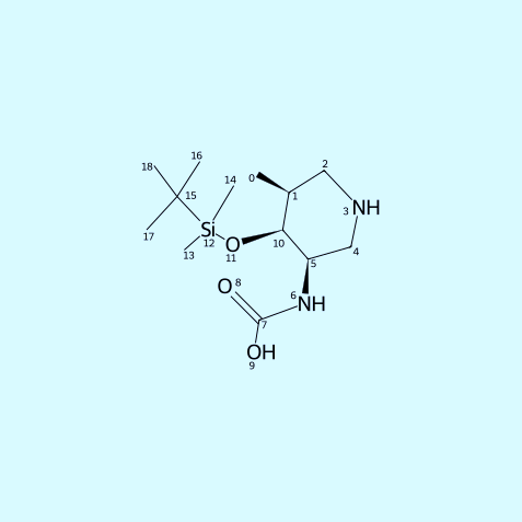 C[C@H]1CNC[C@@H](NC(=O)O)[C@H]1O[Si](C)(C)C(C)(C)C